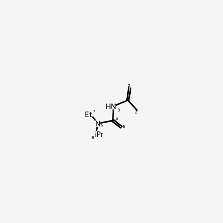 C=C(C)NC(=C)N(CC)C(C)C